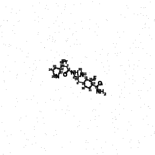 CC(C)[C@H](CC(=O)NC[C@H](Cc1ccc(C(N)=O)c(F)c1)N(C)C)c1cccnc1